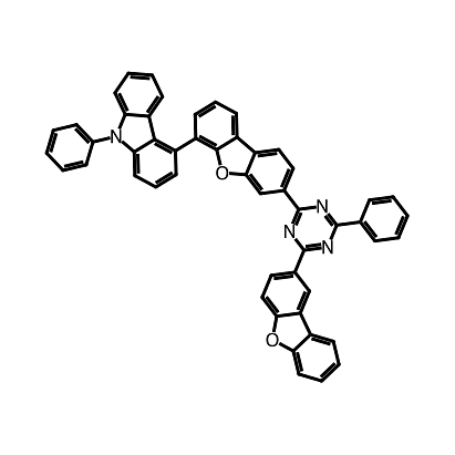 c1ccc(-c2nc(-c3ccc4c(c3)oc3c(-c5cccc6c5c5ccccc5n6-c5ccccc5)cccc34)nc(-c3ccc4oc5ccccc5c4c3)n2)cc1